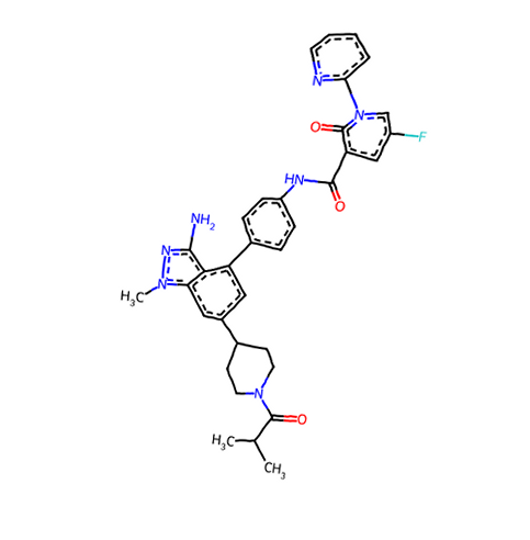 CC(C)C(=O)N1CCC(c2cc(-c3ccc(NC(=O)c4cc(F)cn(-c5ccccn5)c4=O)cc3)c3c(N)nn(C)c3c2)CC1